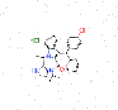 CC(C)NC(=O)c1c(C(c2ccccc2)c2ccc(O)cc2)c2ccccc2n1C(C)C1CCCN1.Cl